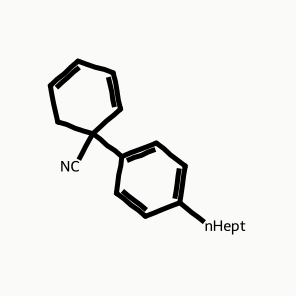 CCCCCCCc1ccc(C2(C#N)C=CC=CC2)cc1